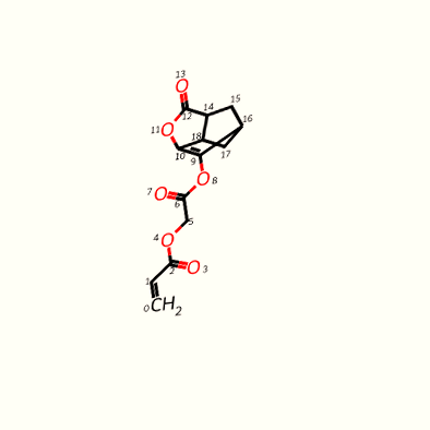 C=CC(=O)OCC(=O)OC1=C2OC(=O)C3CC1CC23